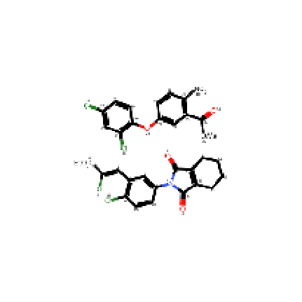 CCOC(=O)/C(Cl)=C/c1cc(N2C(=O)C3=C(CCCC3)C2=O)ccc1Cl.COC(=O)c1cc(Oc2ccc(Cl)cc2Cl)ccc1[N+](=O)[O-]